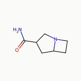 NC(=O)C1CC2CCN2C1